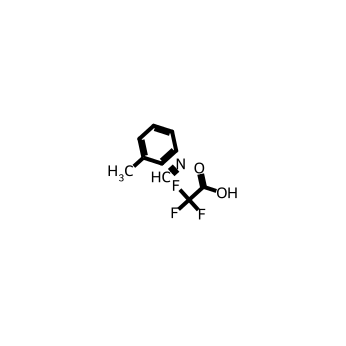 C#N.Cc1ccccc1.O=C(O)C(F)(F)F